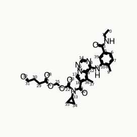 CCNC(=O)c1ccc(C)c(Nc2ncnn3cc(C(=O)N(C(=O)OCOC(=O)CCC=O)C4CC4)c(C)c23)c1